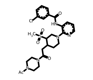 CC(=O)N1CCN(C(=O)CC2CCN(c3ncccc3NC(=O)c3cccc(Cl)c3)CC2S(C)(=O)=O)CC1